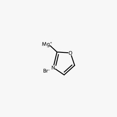 [Br-].[Mg+][c]1ncco1